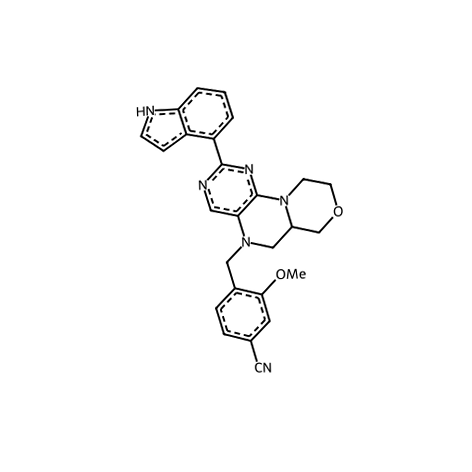 COc1cc(C#N)ccc1CN1CC2COCCN2c2nc(-c3cccc4[nH]ccc34)ncc21